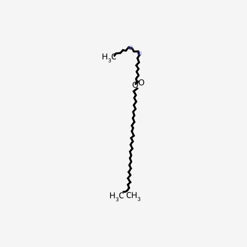 CCCCC/C=C\C/C=C\CCCCCCCC(=O)OCCCCCCCCCCCCCCCCCCCCCCCCCCCCCCCC(C)CC